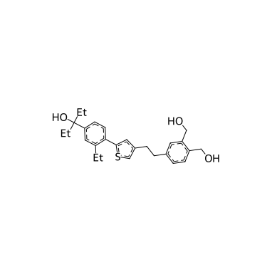 CCc1cc(C(O)(CC)CC)ccc1-c1cc(CCc2ccc(CO)c(CO)c2)cs1